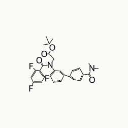 CN(C)C(=O)c1ccc(-c2cccc(N(CC(=O)OC(C)(C)C)C(=O)c3c(F)cc(F)cc3F)c2)cc1